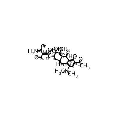 CC(=O)c1cc(N(C)C)c2c(c1O)C(=O)C1=C(O)[C@@](C)(O)[C@H](C/C(O)=C(\C=O)C(N)=O)C[C@@H]1C2